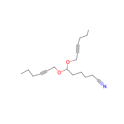 CCCC#CCOC(CCCCC#N)OCC#CCCC